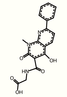 Cn1c(=O)c(C(=O)NCC(=O)O)c(O)c2ccc(-c3ccccc3)nc21